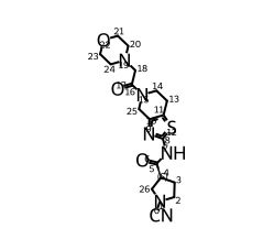 N#CN1CC[C@H](C(=O)Nc2nc3c(s2)CCN(C(=O)CN2CCOCC2)C3)C1